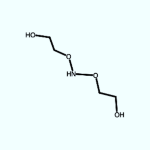 OCCONOCCO